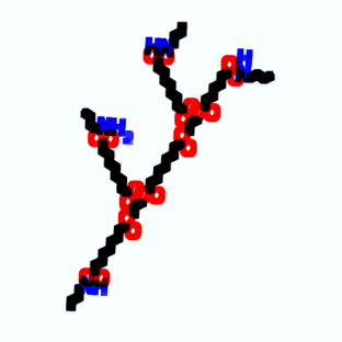 CCCCNOC(=O)CCCCCCCC(=O)OCC(COC(=O)CCCCCCCC(=O)OCC(COC(=O)CCCCCC(=O)ONCCCC)OC(=O)CCCCCCCC(=O)ONCCCC)OC(=O)CCCCCCCC(=O)OC(N)CCC